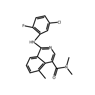 Cc1cccc2c(Nc3cc(Cl)ccc3F)ncc(C(=O)N(C)C)c12